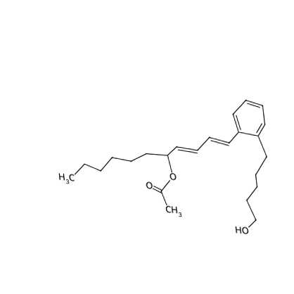 CCCCCCC(/C=C/C=C/c1ccccc1CCCCCO)OC(C)=O